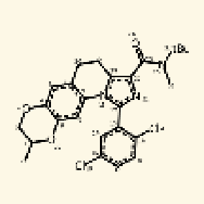 CC1COc2cc3c(cc2O1)-n1c(-c2cc(Cl)ccc2Cl)nc(C(=O)N(C)C(C)(C)C)c1CC3